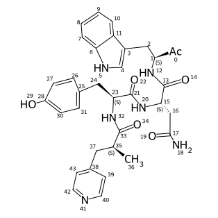 CC(=O)[C@H](Cc1c[nH]c2ccccc12)NC(=O)[C@H](CC(N)=O)NC(=O)[C@H](Cc1ccc(O)cc1)NC(=O)[C@@H](C)Cc1ccncc1